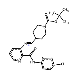 CC(C)(C)OC(=O)N1CCC(/C=N/c2cccnc2C(=O)Nc2ccc(Cl)cn2)CC1